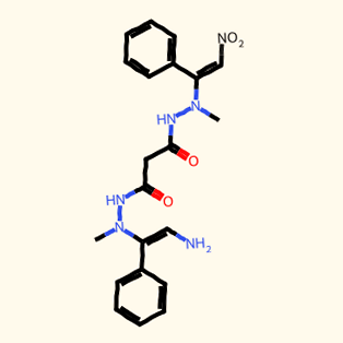 CN(NC(=O)CC(=O)NN(C)/C(=C/[N+](=O)[O-])c1ccccc1)/C(=C/N)c1ccccc1